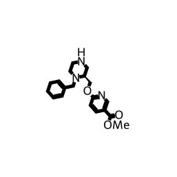 COC(=O)c1ccc(OC[C@@H]2CNCCN2CC2=CCCC=C2)nc1